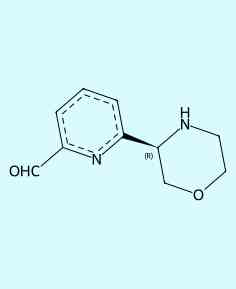 O=Cc1cccc([C@@H]2COCCN2)n1